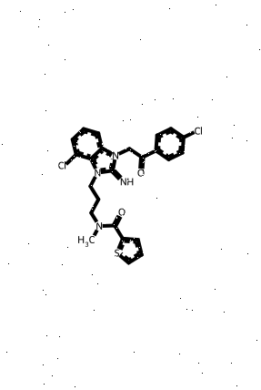 CN(CCCn1c(=N)n(CC(=O)c2ccc(Cl)cc2)c2cccc(Cl)c21)C(=O)c1cccs1